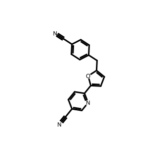 N#Cc1ccc(Cc2ccc(-c3ccc(C#N)cn3)o2)cc1